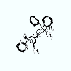 C=CCC(CO[Si](c1ccccc1)(c1ccccc1)C(C)(C)C)CS(=O)(=O)c1ncccn1